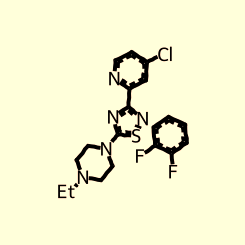 CCN1CCN(c2nc(-c3cc(Cl)ccn3)ns2)CC1.Fc1ccccc1F